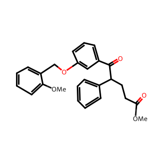 COC(=O)CCC(C(=O)c1cccc(OCc2ccccc2OC)c1)c1ccccc1